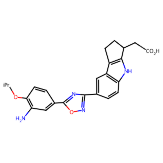 CC(C)Oc1ccc(-c2nc(-c3ccc4[nH]c5c(c4c3)CCC5CC(=O)O)no2)cc1N